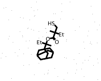 CCC(C)(CS)C(=O)OC(C)(CC)C12CC3CC(CC(C3)C1)C2